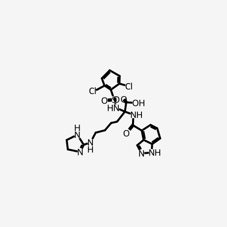 O=C(NC(CCCCNC1=NCCN1)(NS(=O)(=O)c1c(Cl)cccc1Cl)C(=O)O)c1cccc2[nH]ncc12